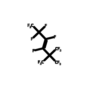 FC(=C(F)C(C(F)(F)F)(C(F)(F)F)C(F)(F)F)C(F)(F)C(F)(F)F